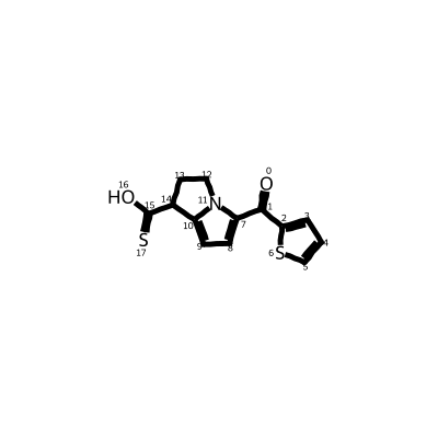 O=C(c1cccs1)c1ccc2n1CCC2C(O)=S